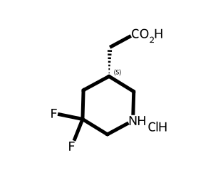 Cl.O=C(O)C[C@@H]1CNCC(F)(F)C1